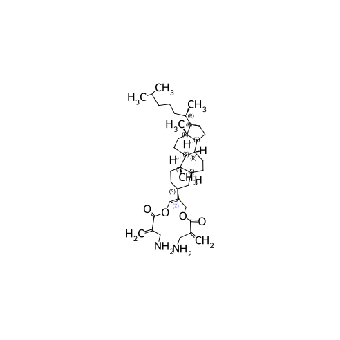 C=C(CN)C(=O)O/C=C(\COC(=O)C(=C)CN)[C@H]1CC[C@@]2(C)[C@@H](CC[C@@H]3[C@@H]2CC[C@]2(C)[C@@H]([C@H](C)CCCC(C)C)CC[C@@H]32)C1